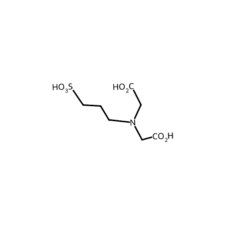 O=C(O)CN(CCCS(=O)(=O)O)CC(=O)O